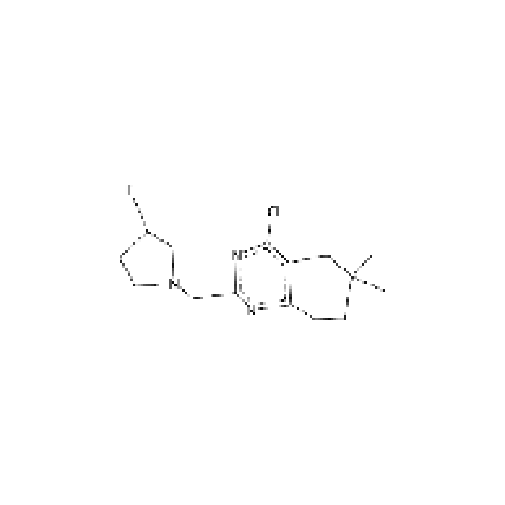 CC1(C)CCc2nc(CN3CCC(F)C3)nc(Cl)c2C1